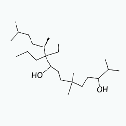 CCCC(CC)(C(O)CCC(C)(C)CCC(O)C(C)C)[C@H](C)CCC(C)C